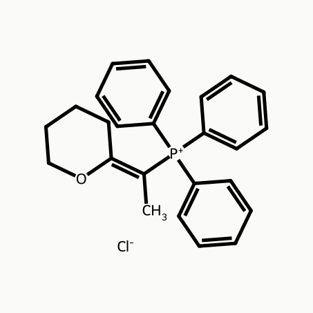 CC(=C1CCCCO1)[P+](c1ccccc1)(c1ccccc1)c1ccccc1.[Cl-]